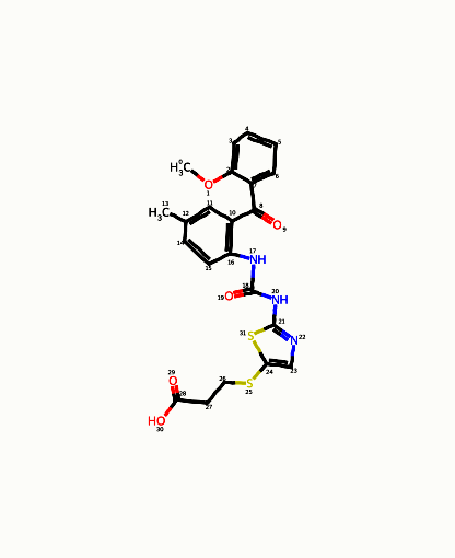 COc1ccccc1C(=O)c1cc(C)ccc1NC(=O)Nc1ncc(SCCC(=O)O)s1